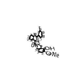 COc1ccc2c(c1O)CCN(C(=O)c1nc(-c3cccc(F)c3)nc3ccccc13)C2